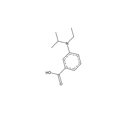 CCN(c1cccc(C(=O)O)c1)C(C)C